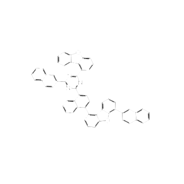 c1ccc2cc(-c3nc(-c4ccc(-c5cccc6oc7c(-c8ccc9ccccc9c8)cccc7c56)c5ccccc45)nc(-c4cccc5oc6ccccc6c45)n3)ccc2c1